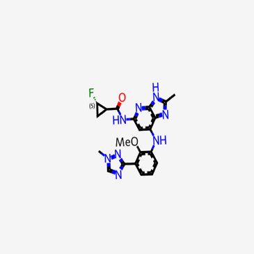 COc1c(Nc2cc(NC(=O)C3C[C@@H]3F)nc3[nH]c(C)nc23)cccc1-c1ncn(C)n1